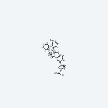 O=C1c2cc(-c3nnc(C(F)F)o3)ccc2CN1[C@H](c1cccc(F)c1)[C@@H](O)c1ccccc1